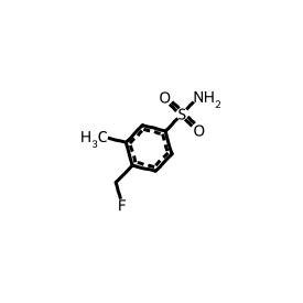 Cc1cc(S(N)(=O)=O)ccc1CF